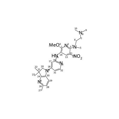 COc1nc(N(C)CCN(C)C)c([N+](=O)[O-])cc1Nc1cc(N2CC(C)(C)c3nc(C)ccc32)ccn1